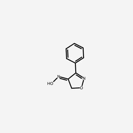 ON=C1CON=C1c1ccccc1